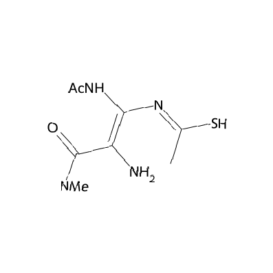 CNC(=O)/C(N)=C(/N=C(\C)S)NC(C)=O